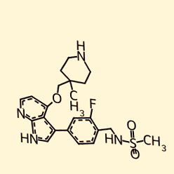 CC1(COc2ccnc3[nH]cc(-c4ccc(CNS(C)(=O)=O)c(F)c4)c23)CCNCC1